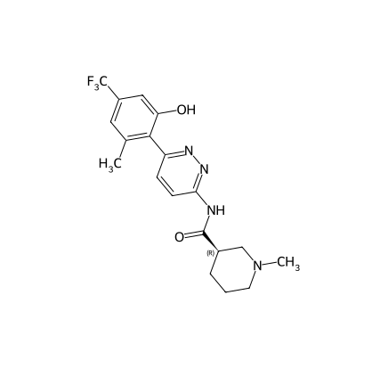 Cc1cc(C(F)(F)F)cc(O)c1-c1ccc(NC(=O)[C@@H]2CCCN(C)C2)nn1